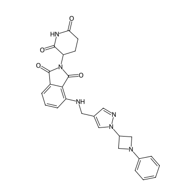 O=C1CCC(N2C(=O)c3cccc(NCc4cnn(C5CN(c6ccccc6)C5)c4)c3C2=O)C(=O)N1